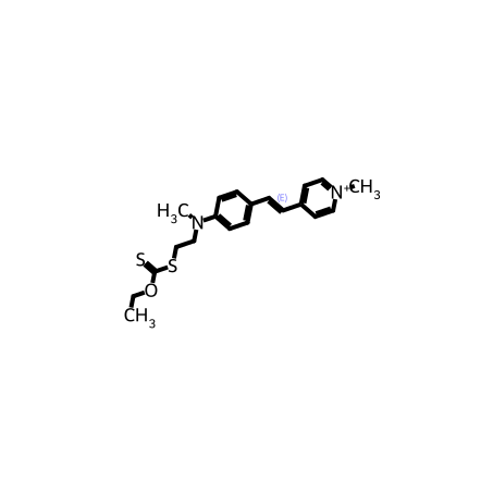 CCOC(=S)SCCN(C)c1ccc(/C=C/c2cc[n+](C)cc2)cc1